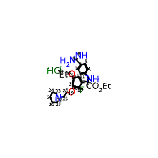 CCOC(=O)C(Nc1ccc(C(=N)N)cc1)c1cc(OCC)cc(OCCN2CCCCC2)c1F.Cl